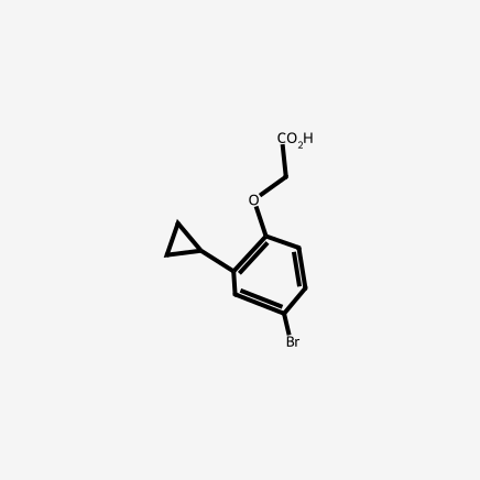 O=C(O)COc1ccc(Br)cc1C1CC1